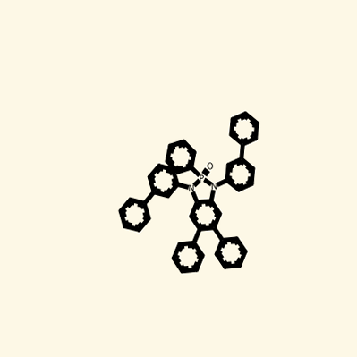 O=P1(c2ccccc2)N(c2cccc(-c3ccccc3)c2)c2cc(-c3ccccc3)c(-c3ccccc3)cc2N1c1cccc(-c2ccccc2)c1